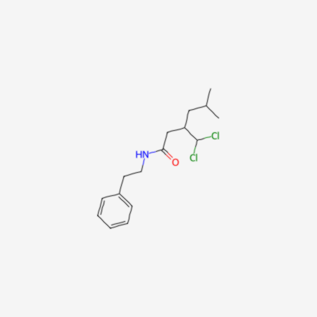 CC(C)CC(CC(=O)NCCc1ccccc1)C(Cl)Cl